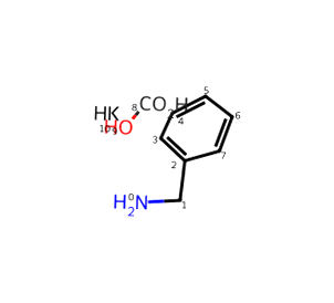 NCc1ccccc1.O=C(O)O.[KH]